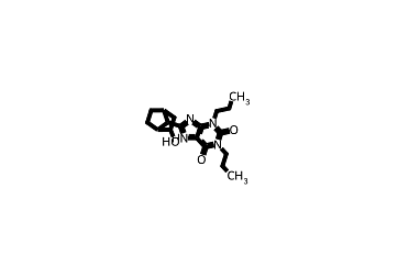 CCCn1c(=O)c2[nH]c(C3C4CCC3C(O)C4)nc2n(CCC)c1=O